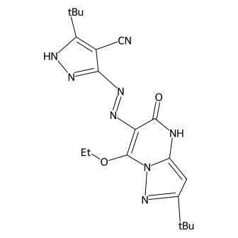 CCOc1c(/N=N/c2n[nH]c(C(C)(C)C)c2C#N)c(=O)[nH]c2cc(C(C)(C)C)nn12